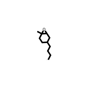 [CH2]CCCC1CCC2(C)OC2C1